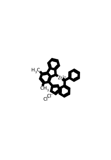 Cc1cc(C)c2c(c1C1=CC=CC1)[CH]([Zr+2]=[C](c1ccccc1)c1ccccc1)c1ccccc1-2.[Cl-].[Cl-]